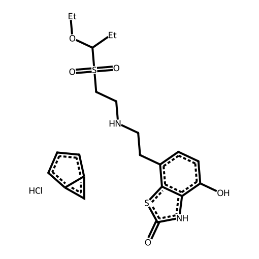 CCOC(CC)S(=O)(=O)CCNCCc1ccc(O)c2[nH]c(=O)sc12.Cl.c1cc2cc-2c1